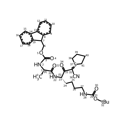 C[C@@H](NC(=O)OCC1c2ccccc2-c2ccccc21)C(=O)N[C@@H](CCCCNC(=O)OC(C)(C)C)C(=O)C(C#N)=S1CCCC1